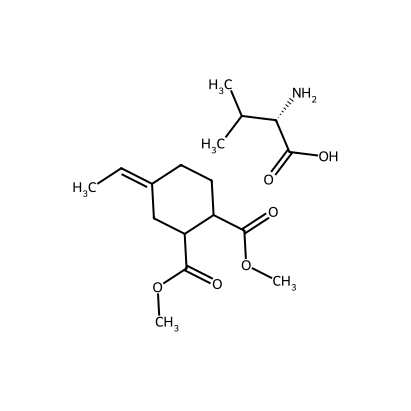 C/C=C1/CCC(C(=O)OC)C(C(=O)OC)C1.CC(C)[C@H](N)C(=O)O